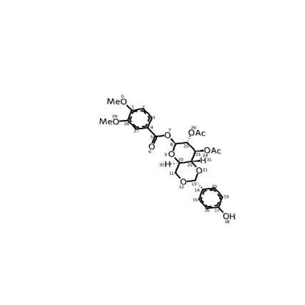 COc1ccc(C(=O)O[C@@H]2O[C@@H]3CO[C@@H](c4ccc(O)cc4)O[C@H]3[C@H](OC(C)=O)[C@H]2OC(C)=O)cc1OC